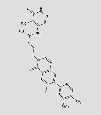 CNc1nc(-c2cc3ncn(CCCC(C)Nc4cn[nH]c(=O)c4C(F)(F)F)c(=O)c3cc2F)ncc1C(F)(F)F